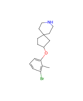 Cc1c(Br)cccc1OC1CCC2(CCNCC2)C1